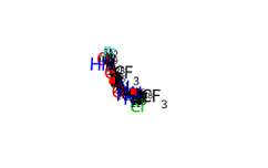 O=C1N[C@H](COc2ccc(-c3nc(-c4cn5cc(C(F)(F)F)cc(Cl)c5n4)no3)cc2C(F)(F)F)CC1(F)F